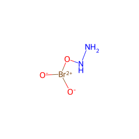 NNO[Br+2]([O-])[O-]